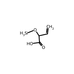 C=CC(O[SiH3])C(=O)O